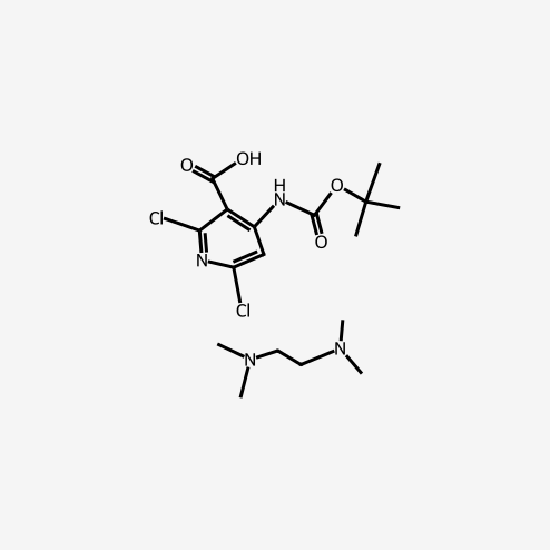 CC(C)(C)OC(=O)Nc1cc(Cl)nc(Cl)c1C(=O)O.CN(C)CCN(C)C